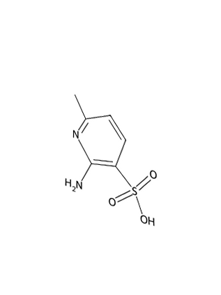 Cc1ccc(S(=O)(=O)O)c(N)n1